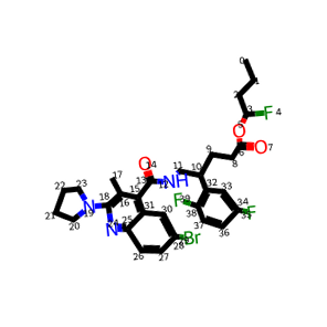 CCCC(F)OC(=O)CCC(CNC(=O)c1c(C)c(N2CCCC2)nc2ccc(Br)cc12)c1cc(F)ccc1F